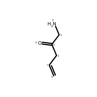 C=CCC(=O)CN